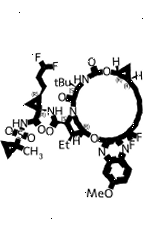 CC[C@@H]1[C@@H]2CN(C(=O)[C@H](C(C)(C)C)NC(=O)O[C@@H]3C[C@H]3CCCCC(F)(F)c3nc4ccc(OC)cc4nc3O2)[C@@H]1C(=O)N[C@]1(C(=O)NS(=O)(=O)C2(C)CC2)C[C@H]1CCC(F)F